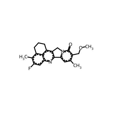 COCc1c(C)cc2n(c1=O)Cc1c-2nc2cc(F)c(C)c3c2c1CCC3